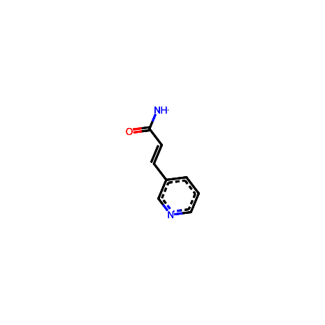 [NH]C(=O)C=Cc1cccnc1